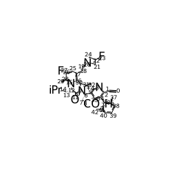 C#Cc1ncc([C@H](CC(=O)O)[N+]2(C(=O)[C@H](CC(C)C)N3C=C(CCN4CC(F)C4)C=C(F)C3=C)CC2=C)cc1-c1c(C)cccc1C